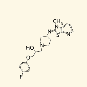 Cn1/c(=N/C2CCN(CC(O)COc3ccc(F)cc3)CC2)sc2ncccc21